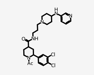 CC(=O)N1CCC(C(=O)NCCCN2CCC(Nc3cccnc3)CC2)CC1c1ccc(Cl)c(Cl)c1